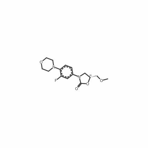 COC[C@H]1CN(c2ccc(N3CCOCC3)c(F)c2)C(=O)O1